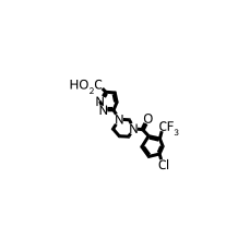 O=C(O)c1ccc(N2CCCN(C(=O)c3ccc(Cl)cc3C(F)(F)F)C2)nn1